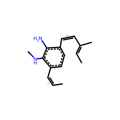 CC=C(C)/C=C\c1ccc(/C=C\C)c(NC)c1N